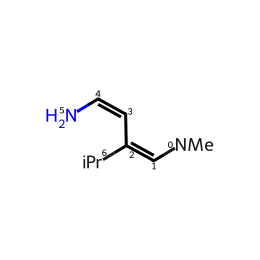 CN/C=C(\C=C/N)C(C)C